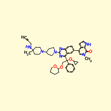 C#CCNC1(C)CCN(C2CCN(c3nc(C(COC4CCCCO4)(OC4CC4)c4ccccc4)c4cc(-c5cn(C)c(=O)c6[nH]ccc56)ccc4n3)CC2)CC1